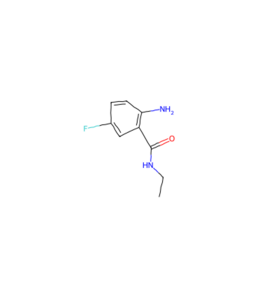 CCNC(=O)c1cc(F)ccc1N